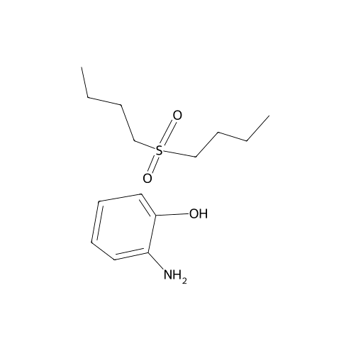 CCCCS(=O)(=O)CCCC.Nc1ccccc1O